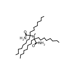 CCCCCCCCC(CCCCCCCC)(C(N)=O)N(C)C(CCCCCCCC)(CCCCCCCC)C(N)=O